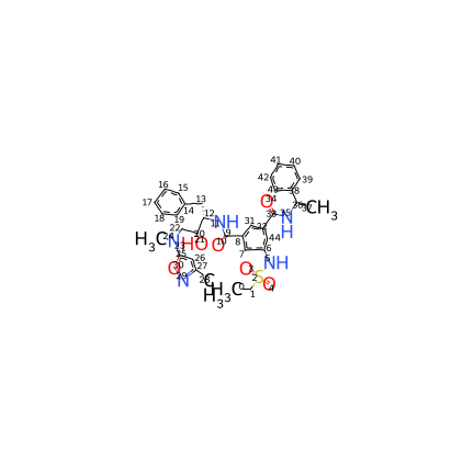 CCS(=O)(=O)Nc1cc(C(=O)N[C@@H](Cc2ccccc2)[C@H](O)CN(C)c2cc(C)no2)cc(C(=O)N[C@H](C)c2ccccc2)c1